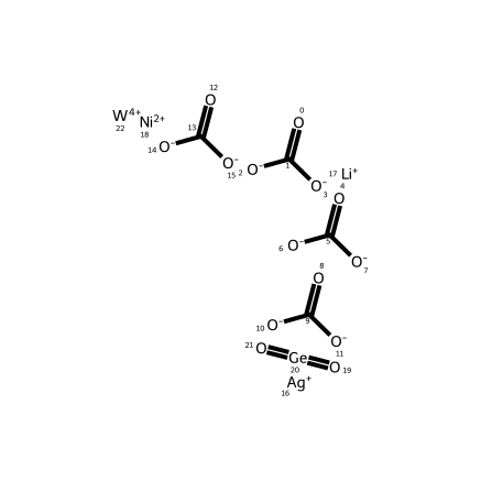 O=C([O-])[O-].O=C([O-])[O-].O=C([O-])[O-].O=C([O-])[O-].[Ag+].[Li+].[Ni+2].[O]=[Ge]=[O].[W+4]